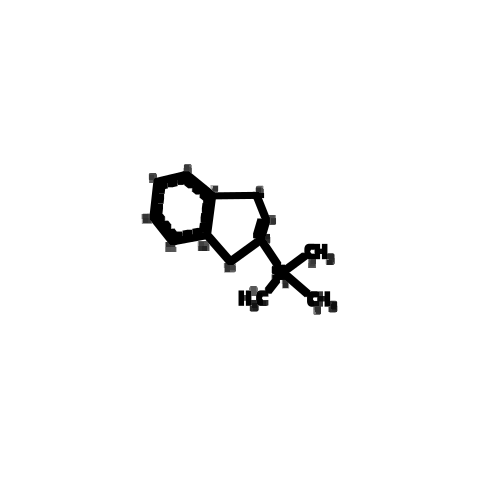 C[Si](C)(C)C1=C[CH]c2ccccc2C1